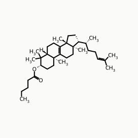 CCCCC(=O)O[C@H]1CC[C@]2(C)C3=C(CC[C@H]2C1(C)C)[C@]1(C)CC[C@H]([C@H](C)CCC=C(C)C)[C@@]1(C)CC3